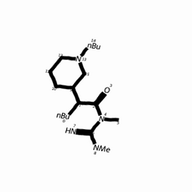 CCCCC(C(=O)N(C)C(=N)NC)C1CCCN(CCCC)C1